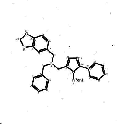 CCCCCn1c(CN(Cc2ccccc2)Cc2ccc3c(c2)OCO3)cnc1-c1ccccc1